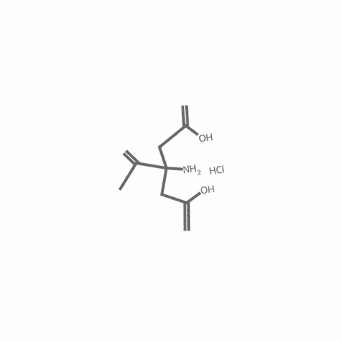 C=C(O)CC(N)(CC(=C)O)C(=C)C.Cl